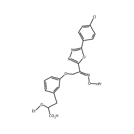 CCCO/N=C(\COc1cccc(CC(OCC)C(=O)O)c1)c1nnc(-c2ccc(Cl)cc2)o1